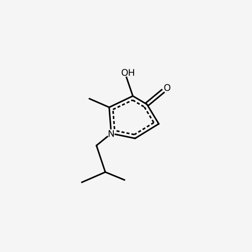 Cc1c(O)c(=O)ccn1CC(C)C